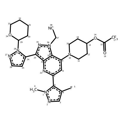 Cn1ncc(F)c1-c1cc(N2CCC(OC(=O)C(F)(F)F)CC2)c2c(n1)c(-c1ccnn1C1CCCCO1)nn2CC#N